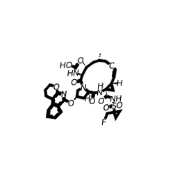 C[C@@H]1CCC=C[C@@H]2C[C@@]2(C(=O)NS(=O)(=O)C2(CF)CC2)NC(=O)[C@@H]2C[C@@H](Oc3nc4c(c5ccccc35)CCCO4)CN2C(=O)[C@@H](NC(=O)O)[C@H](C)C1